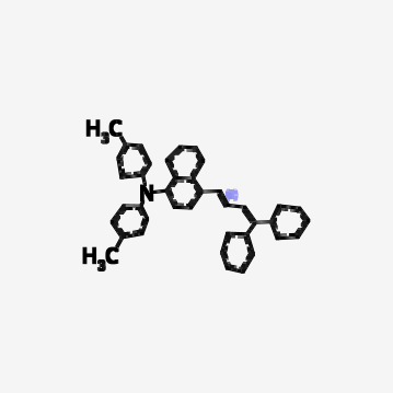 Cc1ccc(N(c2ccc(C)cc2)c2ccc(/C=C/C=C(c3ccccc3)c3ccccc3)c3ccccc23)cc1